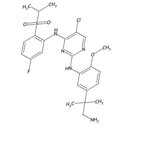 COc1ccc(C(C)(C)CN)cc1Nc1ncc(Cl)c(Nc2cc(F)ccc2S(=O)(=O)C(C)C)n1